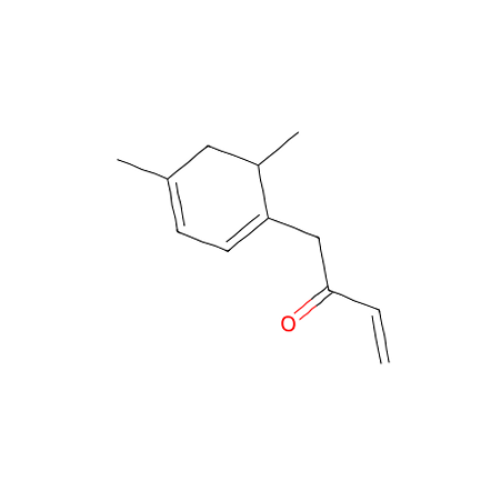 C=CC(=O)CC1=CC=C(C)CC1C